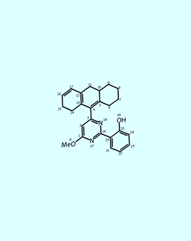 COc1cc(C2=C3CCCCC3CC3=C2CCC=C3)nc(-c2ccccc2O)n1